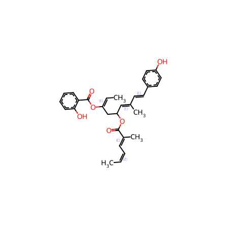 C/C=C\C=C(/C)C(=O)OC(/C=C(C)/C=C/c1ccc(O)cc1)C/C(=C\C)OC(=O)c1ccccc1O